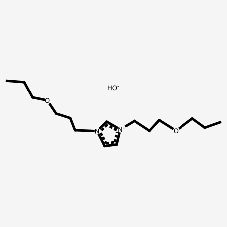 CCCOCCCn1cc[n+](CCCOCCC)c1.[OH-]